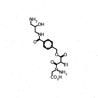 CCC(C(=O)OCc1ccc(C(=O)NCC(O)CN)cc1)C(=O)N(N)CC(=O)O